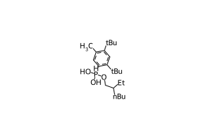 CCCCC(CC)CO[PH](O)(O)c1cc(C)c(C(C)(C)C)cc1C(C)(C)C